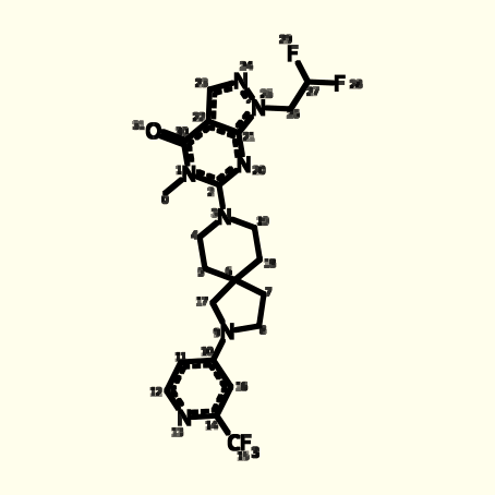 Cn1c(N2CCC3(CCN(c4ccnc(C(F)(F)F)c4)C3)CC2)nc2c(cnn2CC(F)F)c1=O